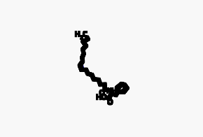 CCCCCCCC/C=C\CCCCCCCC(=O)NC(Cc1ccccc1)C(=O)O